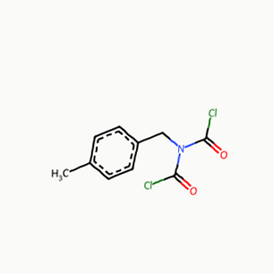 Cc1ccc(CN(C(=O)Cl)C(=O)Cl)cc1